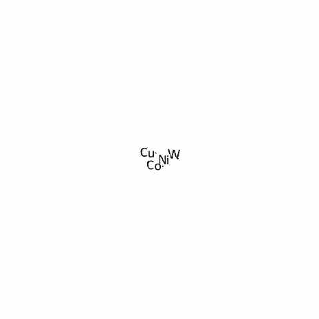 [Co].[Cu].[Ni].[W]